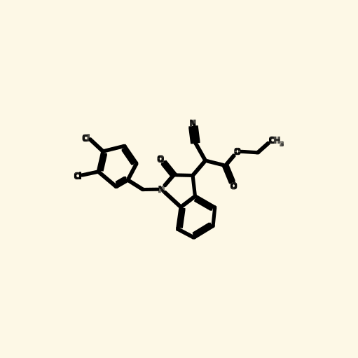 CCOC(=O)C(C#N)C1C(=O)N(Cc2ccc(Cl)c(Cl)c2)c2ccccc21